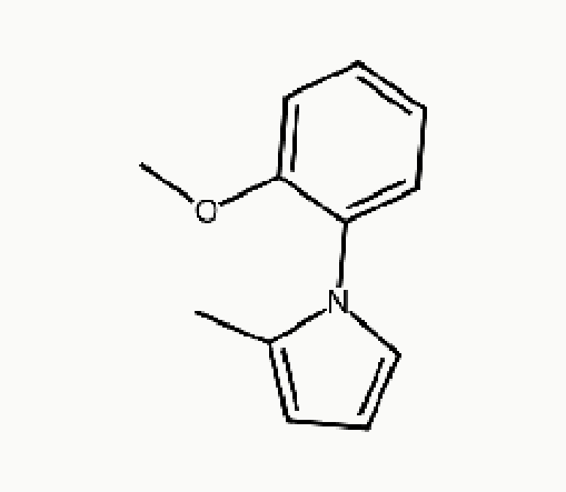 COc1ccccc1-n1cccc1C